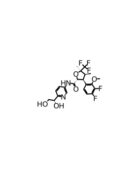 COc1c([C@H]2[C@H](C(=O)Nc3ccc([C@H](O)CO)nc3)O[C@@](C)(C(F)(F)F)[C@H]2C)ccc(F)c1F